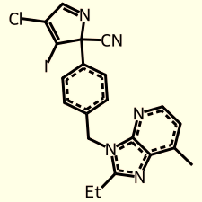 CCc1nc2c(C)ccnc2n1Cc1ccc(C2(C#N)N=CC(Cl)=C2I)cc1